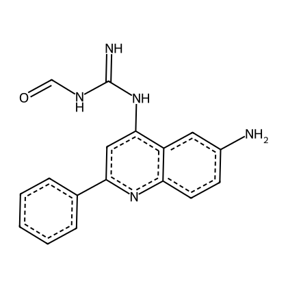 N=C(NC=O)Nc1cc(-c2ccccc2)nc2ccc(N)cc12